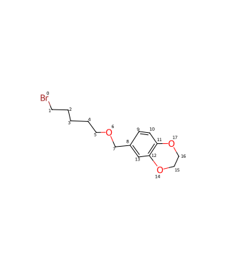 BrCCCCCOCc1ccc2c(c1)OCCO2